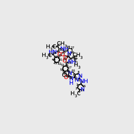 Cc1ccc(Nc2ncc3c(n2)NC(=O)N(c2cc(C(=O)N[C@H](C(=O)N4CCC[C@H]4C(=O)N[C@H](C(=O)N[C@H](C)c4ccccc4)C(C)C)C(C)C)ccc2C)C3)cn1